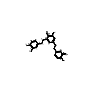 Cc1ccc(CCc2cc(C)c(C)c(CCc3ccc(C)c(C)c3)c2)cc1C